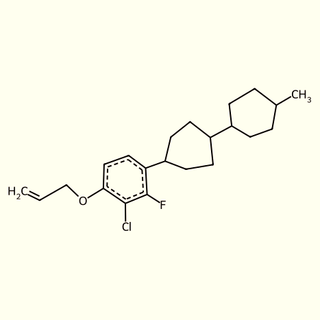 C=CCOc1ccc(C2CCC(C3CCC(C)CC3)CC2)c(F)c1Cl